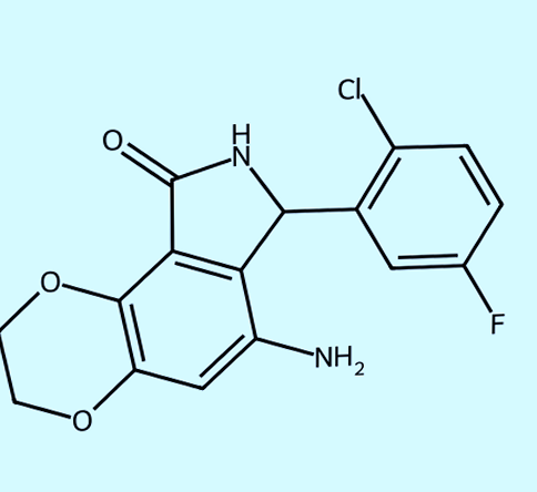 Nc1cc2c(c3c1C(c1cc(F)ccc1Cl)NC3=O)OCCO2